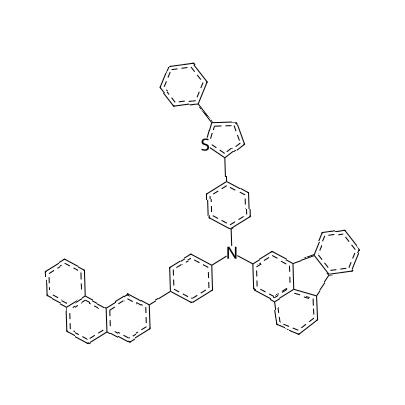 c1ccc(-c2ccc(-c3ccc(N(c4ccc(-c5ccc6ccc7ccccc7c6c5)cc4)c4cc5c6c(cccc6c4)-c4ccccc4-5)cc3)s2)cc1